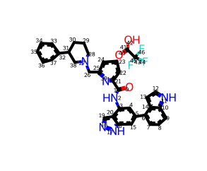 O=C(Nc1cc(-c2cccc3[nH]ccc23)cc2[nH]ncc12)c1cccc(CN2CCCC(c3ccccc3)C2)n1.O=C(O)C(F)(F)F